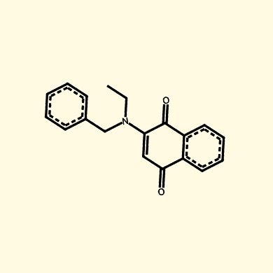 CCN(Cc1ccccc1)C1=CC(=O)c2ccccc2C1=O